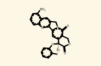 CC[C@@]1(Oc2ccccc2F)C(=O)OCc2c1cc1n(c2=O)Cc2cc3c([N+](=O)[O-])cccc3nc2-1